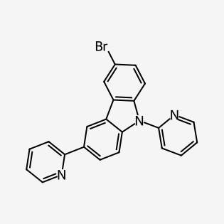 Brc1ccc2c(c1)c1cc(-c3ccccn3)ccc1n2-c1ccccn1